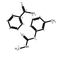 CNC(=O)Oc1cccc(C)c1.NC(=S)c1ccccc1